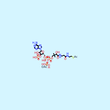 CC(=O)OP(=O)(O)O.CC(=O)SCCNC(=O)CCNC(=O)C(O)C(C)(C)COP(=O)(O)OP(=O)(O)OC[C@H]1O[C@@H](n2cnc3c(N)ncnc32)[C@H](O)[C@@H]1OP(=O)(O)O